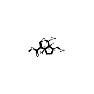 COC(=O)C1=CO[C@@H](O)[C@@H]2[C@@H](CO)CC[C@H]12